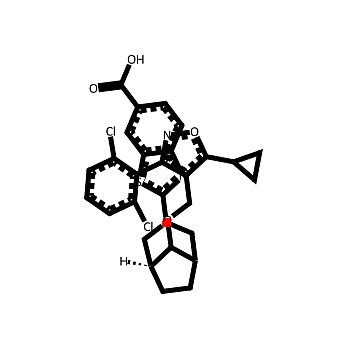 O=C(O)c1ccc2nc(N3CC4CC[C@@H](C3)C4OCc3c(-c4c(Cl)cccc4Cl)noc3C3CC3)sc2c1